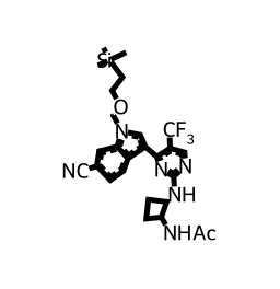 CC(=O)NC1CC[C@@H]1Nc1ncc(C(F)(F)F)c(-c2cn(COCC[Si](C)(C)C)c3cc(C#N)ccc23)n1